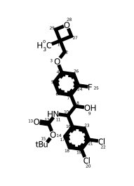 CC1(COc2ccc(C(O)C(NC(=O)OC(C)(C)C)c3ccc(Cl)c(Cl)c3)c(F)c2)COC1